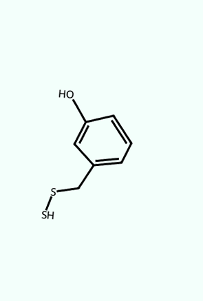 Oc1cccc(CSS)c1